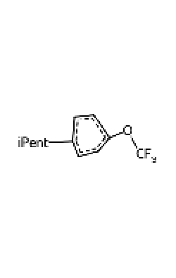 CCCC(C)c1ccc(OC(F)(F)F)cc1